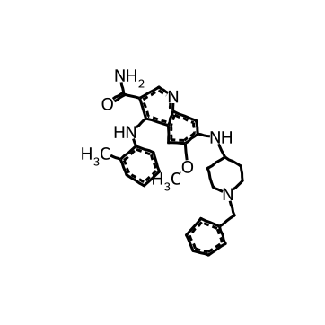 COc1cc2c(Nc3ccccc3C)c(C(N)=O)cnc2cc1NC1CCN(Cc2ccccc2)CC1